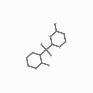 CC1CCCC(C(C)(C)C2CCCCC2C)C1